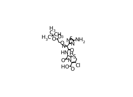 CC(C)(C)OC(=O)CON=C(C(=O)NC1C(=O)N2C(C(=O)O)=C(Cl)CS[C@@H]12)c1nsc(N)n1